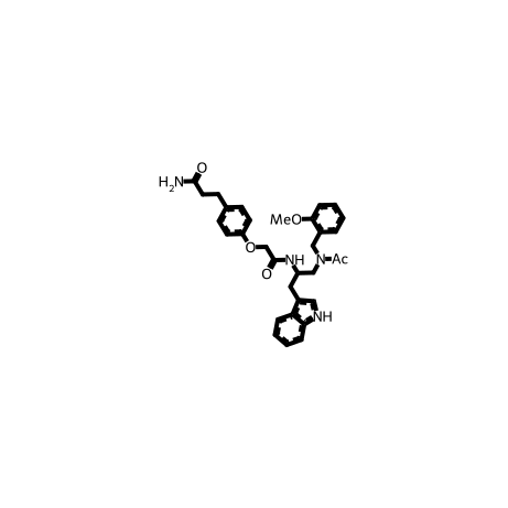 COc1ccccc1CN(CC(Cc1c[nH]c2ccccc12)NC(=O)COc1ccc(CCC(N)=O)cc1)C(C)=O